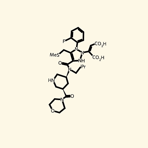 CSCC1=C(C(=O)N(CC(C)C)[C@@H]2CNC[C@H](C(=O)N3CCOCC3)C2)NN(/C(=C/C(=O)O)C(=O)O)N1c1ccccc1F